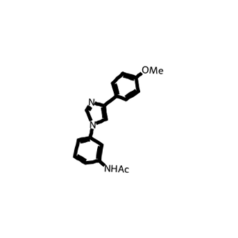 COc1ccc(-c2cn(-c3cccc(NC(C)=O)c3)cn2)cc1